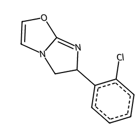 Clc1ccccc1C1CN2C=COC2=N1